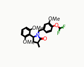 COc1cc(CN2C(=O)C(C)CC2c2c(OC)cccc2OC)ccc1OC(F)F